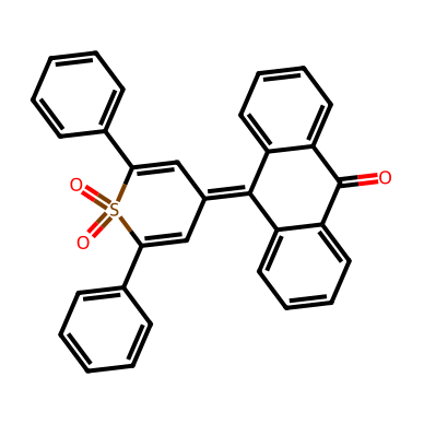 O=C1c2ccccc2C(=C2C=C(c3ccccc3)S(=O)(=O)C(c3ccccc3)=C2)c2ccccc21